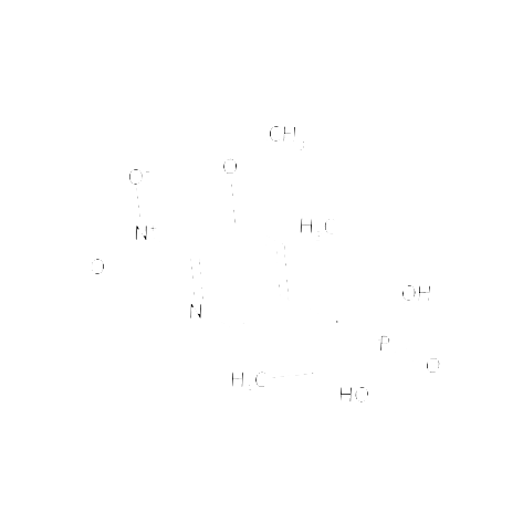 CCC(CC)(c1cnc([N+](=O)[O-])c(OC)c1)P(=O)(O)O